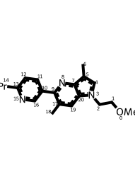 COCCn1cc(C)c2nc(-c3ccc(C(C)C)nc3)c(C)cc21